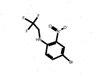 O=[N+]([O-])c1cc(Br)ccc1NCC(F)(F)F